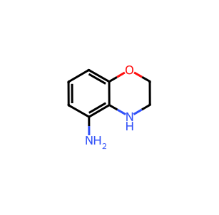 Nc1cccc2c1NCCO2